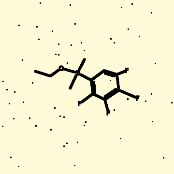 CCO[Si](C)(C)c1cc(F)c(F)c(F)c1F